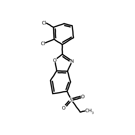 CCS(=O)(=O)c1ccc2oc(-c3cccc(Cl)c3Cl)nc2c1